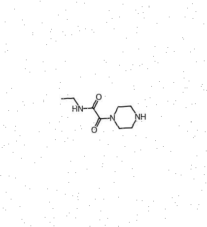 CCNC(=O)C(=O)N1CCNCC1